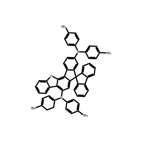 CC(C)(C)C1=CC=C(N(c2ccc(C(C)(C)C)cc2)c2cc3c(c4oc5ccccc5c24)-c2ccc(N(c4ccc(C(C)(C)C)cc4)c4ccc(C(C)(C)C)cc4)cc2C32c3ccccc3-c3ccccc32)CC1